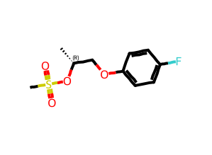 C[C@H](COc1ccc(F)cc1)OS(C)(=O)=O